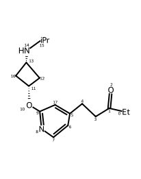 CCC(=O)CCc1ccnc(O[C@H]2C[C@@H](NC(C)C)C2)c1